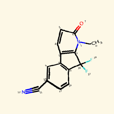 Cn1c2c(ccc1=O)-c1cc(C#N)ccc1C2(F)F